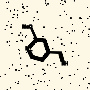 COc1cc(C=N)ccn1